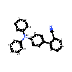 N#Cc1ccccc1-c1ccc(N(c2ccccc2)c2ccccc2)cc1